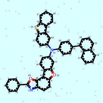 c1ccc(-c2nc3ccc4oc5cc(N(c6ccc(-c7cccc8ccccc78)cc6)c6ccc7sc8ccccc8c7c6)ccc5c4c3o2)cc1